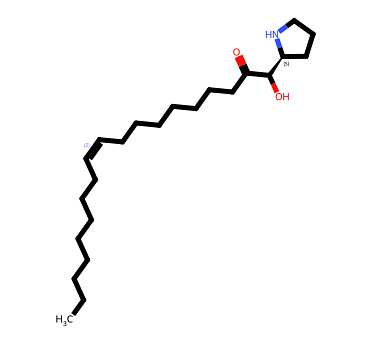 CCCCCCCC/C=C\CCCCCCCC(=O)C(O)[C@@H]1CCCN1